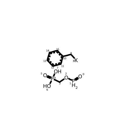 O=[PH2]OCP(=O)(O)O.[K][CH2]c1ccccc1